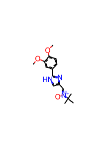 COc1ccc(-c2nc(/C=[N+](\[O-])C(C)(C)C)c[nH]2)cc1OC